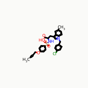 CC#CCOc1ccc(S(=O)(=O)NC(Cc2cn(Cc3ccc(Cl)cc3)c3ccc(C)cc23)C(=O)O)cc1